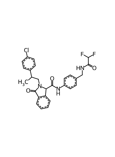 CC(CN1C(=O)c2ccccc2C1C(=O)Nc1ccc(CNC(=O)C(F)F)cc1)c1ccc(Cl)cc1